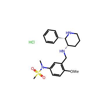 COc1ccc(N(C)S(C)(=O)=O)cc1CN[C@H]1CCCN[C@H]1c1ccccc1.Cl